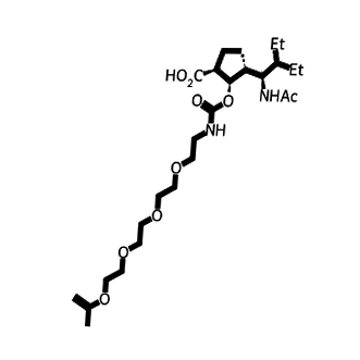 C=C(C)OCCOCCOCCOCCNC(=O)O[C@H]1[C@@H]([C@H](NC(C)=O)C(CC)CC)CC[C@@H]1C(=O)O